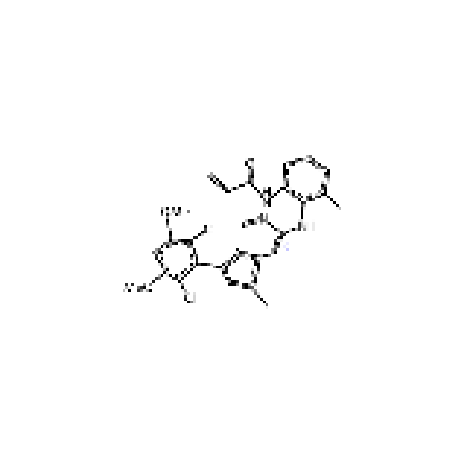 C=CC(=O)Nc1cccc(C)c1N/C(=C/c1sc(-c2c(Cl)c(OC)cc(OC)c2Cl)cc1C)N=C